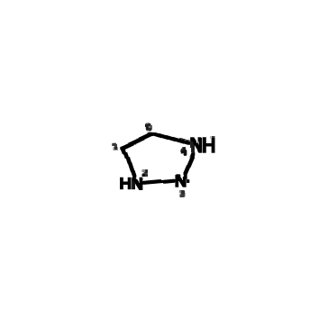 C1CN[N]N1